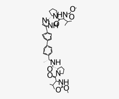 COC(=O)N[C@H](C(=O)N1CCC[C@H]1C(=O)N[C@H](C)c1ccc(-c2ccc(-c3cnc([C@@H]4CCCN4C(=O)[C@@H](NC(=O)OC)C(C)C)[nH]3)cc2)cc1)C(C)C